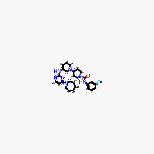 O=C(Nc1cccc(F)c1)N1CCC(N2CCCC(Nc3nccc(N4CCCCCC4)n3)C2)CC1